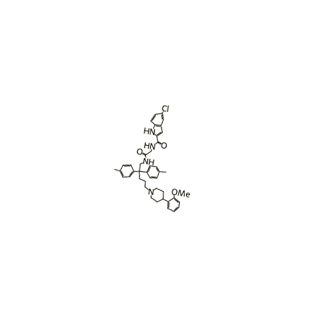 COc1ccccc1C1CCN(CCCC(CNC(=O)CNC(=O)c2cc3cc(Cl)ccc3[nH]2)(c2ccc(C)cc2)c2ccc(C)cc2)CC1